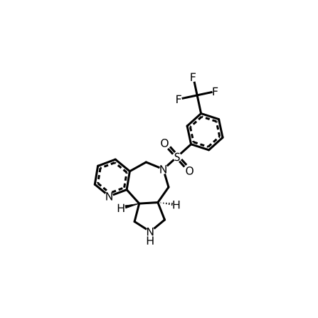 O=S(=O)(c1cccc(C(F)(F)F)c1)N1Cc2cccnc2[C@H]2CNC[C@@H]2C1